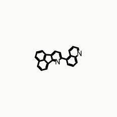 c1cc2c3c(cccc3c1)-c1nc(-c3cccc4ncccc34)ccc1-2